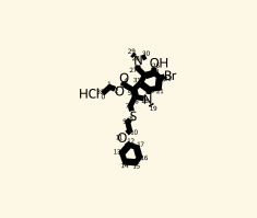 CCOC(=O)c1c(CSCCOc2ccccc2)n(C)c2cc(Br)c(O)c(CN(C)C)c12.Cl